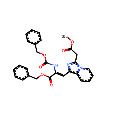 CC(C)(C)OC(=O)Cc1nc(/C=C(\NC(=O)OCc2ccccc2)C(=O)OCc2ccccc2)c2ccccn12